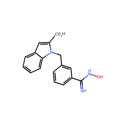 N=C(NO)c1cccc(Cn2c(C(=O)O)cc3ccccc32)c1